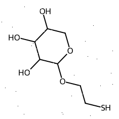 OC1COC(OCCS)C(O)C1O